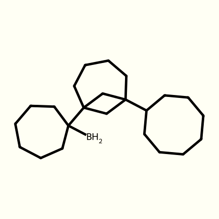 BC1(C23CCCCC(C4CCCCCCC4)(C2)C3)CCCCCC1